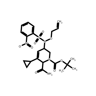 C=CCON(C1C=C(C2CC2)C(C(N)=O)N(C(=O)OC(C)(C)C)C1)S(=O)(=O)c1ccccc1[N+](=O)[O-]